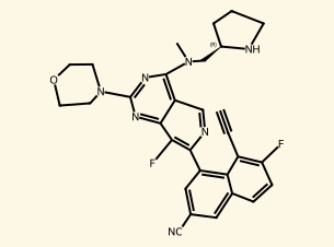 C#Cc1c(F)ccc2cc(C#N)cc(-c3ncc4c(N(C)C[C@H]5CCCN5)nc(N5CCOCC5)nc4c3F)c12